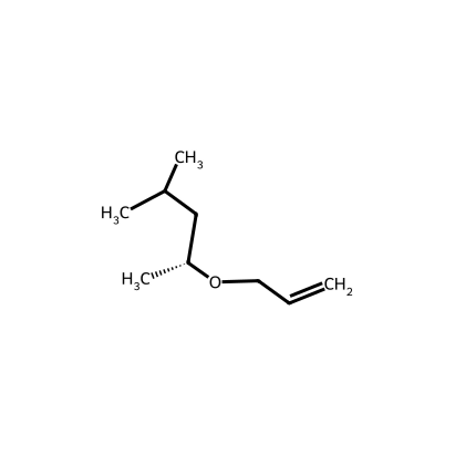 C=CCO[C@H](C)CC(C)C